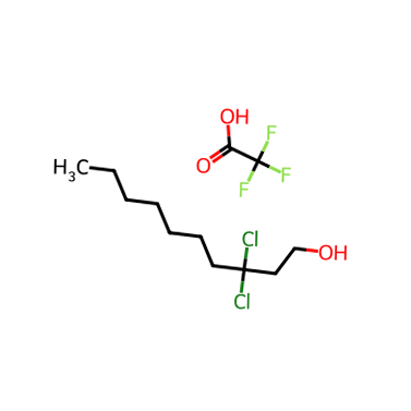 CCCCCCCC(Cl)(Cl)CCO.O=C(O)C(F)(F)F